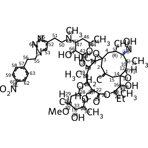 C=C1CC23C[C@@H](C)/C(=N\O)[C@H](C)[C@H]4OC4(C1)[C@](C)(O)[C@@H](CC)OC(=O)[C@H](C)[C@@H](OC1C[C@@](C)(OC)[C@@H](O)[C@H](C)O1)[C@H](C)[C@@H](O[C@@H]1O[C@H](C)C[C@H](N(C)CCc4cn(CCc5ccc([N+](=O)[O-])cc5)nn4)C1O)[C@]2(C)O3